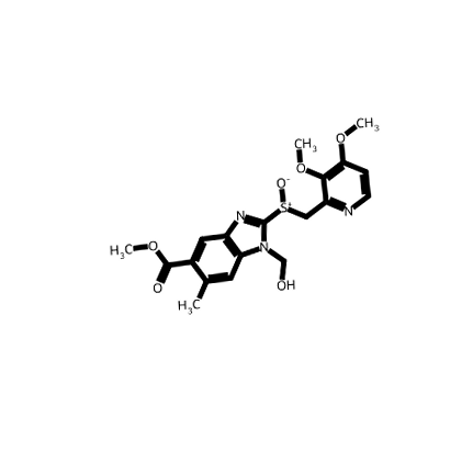 COC(=O)c1cc2nc([S+]([O-])Cc3nccc(OC)c3OC)n(CO)c2cc1C